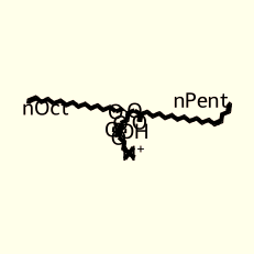 CCCCC/C=C\C/C=C\CCCCCCCCCCCC(=O)O[C@H](COCCCCCCCCCCCC/C=C\CCCCCCCC)COP(=O)(O)OCC[N+](C)(C)C